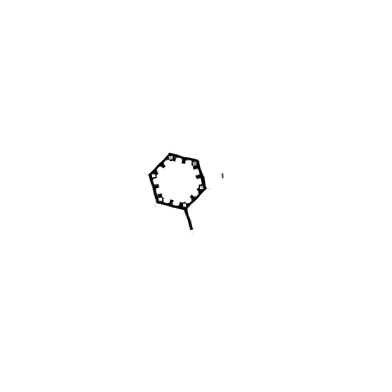 Cl.Cl.[As]c1ccccc1